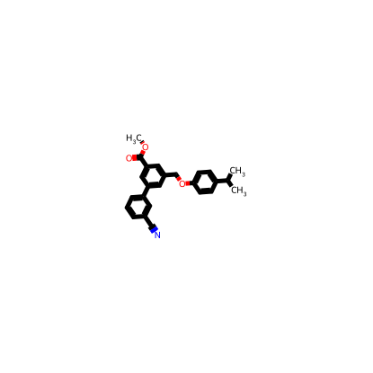 COC(=O)c1cc(COc2ccc(C(C)C)cc2)cc(-c2cccc(C#N)c2)c1